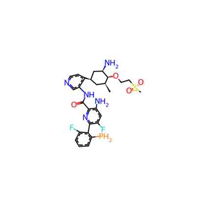 C[C@H]1C[C@@H](c2ccncc2NC(=O)c2nc(-c3c(F)cccc3P)c(F)cc2N)C[C@@H](N)[C@H]1OCCS(C)(=O)=O